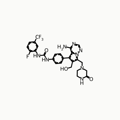 Nc1ncnn2c(CN3CCNC(=O)C3)c(CO)c(-c3ccc(NC(=O)Nc4cc(C(F)(F)F)ccc4F)cc3)c12